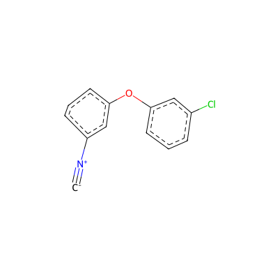 [C-]#[N+]c1cccc(Oc2cccc(Cl)c2)c1